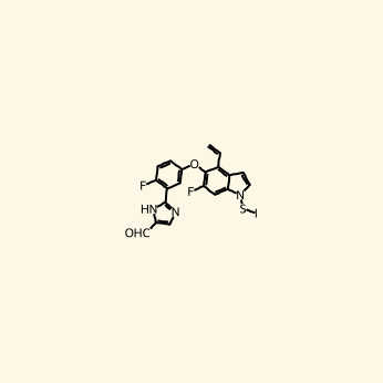 C=Cc1c(Oc2ccc(F)c(-c3ncc(C=O)[nH]3)c2)c(F)cc2c1ccn2SI